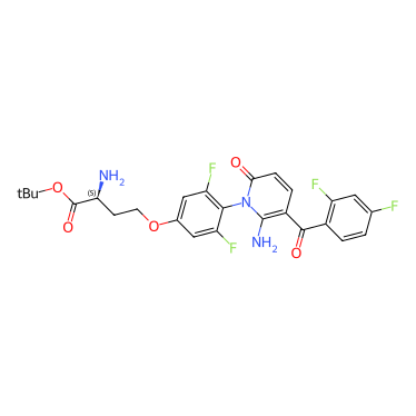 CC(C)(C)OC(=O)[C@@H](N)CCOc1cc(F)c(-n2c(N)c(C(=O)c3ccc(F)cc3F)ccc2=O)c(F)c1